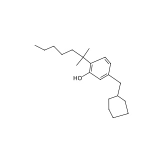 CCCCCC(C)(C)c1ccc(CC2CCCCC2)cc1O